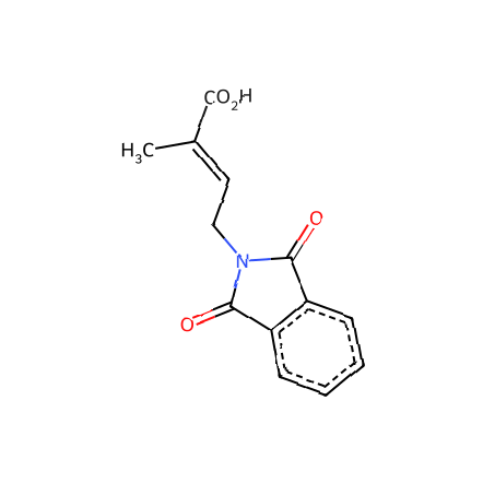 C/C(=C\CN1C(=O)c2ccccc2C1=O)C(=O)O